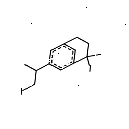 CC(CI)c1cc2cc(c1)C(C)(I)CC2